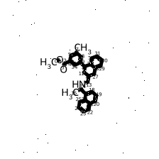 COC(=O)c1cc(C)cc(C2CC(CN[C@H](C)c3cccc4ccccc34)Cc3ccccc32)c1